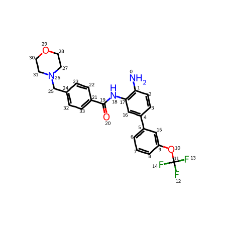 Nc1ccc(-c2cccc(OC(F)(F)F)c2)cc1NC(=O)c1ccc(CN2CCOCC2)cc1